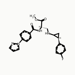 COC(=O)[C@H](CNC1C[C@H]1c1ccc(F)cc1)NC(=O)c1ccc(-n2cccn2)cc1